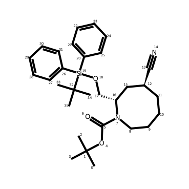 CC(C)(C)OC(=O)N1CCCC[C@H](C#N)C[C@H]1CO[Si](c1ccccc1)(c1ccccc1)C(C)(C)C